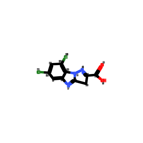 O=C(O)C1=Nn2c(nc3cc(Cl)cc(Cl)c32)C1